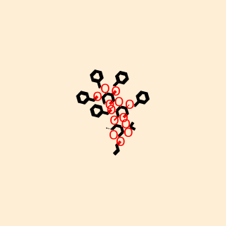 C=CCO[C@@H]1O[C@H](C)[C@H](O[C@@H]2OC[C@@H](OCc3ccccc3)C(O[C@@H]3OC[C@@H](OCc4ccccc4)C(OCc4ccccc4)C3OCc3ccccc3)C2OCc2ccccc2)C2OC(C)(C)OC21